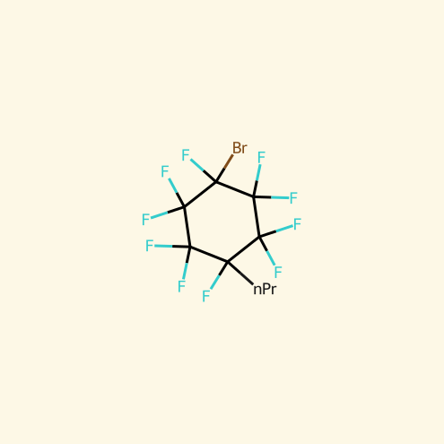 CCCC1(F)C(F)(F)C(F)(F)C(F)(Br)C(F)(F)C1(F)F